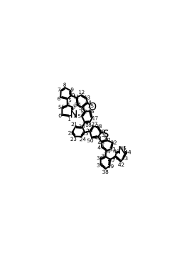 c1cncc(-c2ccccc2-c2ccc3oc4ccc(-c5ccccc5-c5ccc6sc7ccc(-c8ccccc8-c8cccnc8)cc7c6c5)cc4c3c2)c1